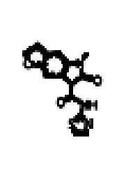 CN1C(=O)C(C(=O)Nc2nccs2)c2cc3occc3cc21